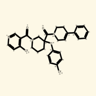 O=C(c1cnccc1C(F)(F)F)N1CCCC(Oc2ccc(C(F)(F)F)cc2)(C(=O)N2CC=C(c3ccccc3)CC2)C1